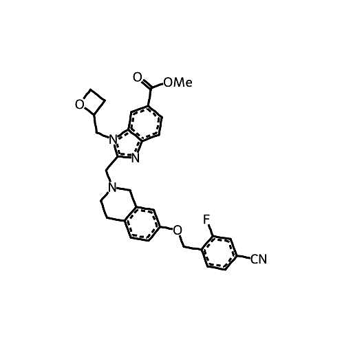 COC(=O)c1ccc2nc(CN3CCc4ccc(OCc5ccc(C#N)cc5F)cc4C3)n(CC3CCO3)c2c1